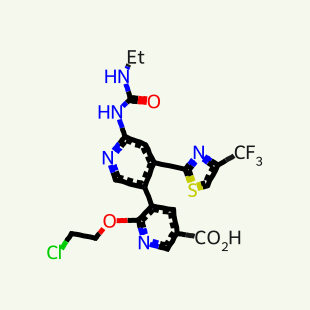 CCNC(=O)Nc1cc(-c2nc(C(F)(F)F)cs2)c(-c2cc(C(=O)O)cnc2OCCCl)cn1